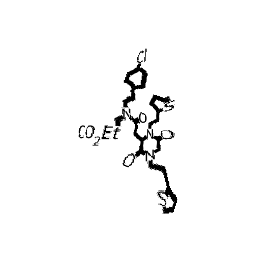 CCOC(=O)CN(CCc1ccc(Cl)cc1)C(=O)CC1C(=O)N(CCc2cccs2)CC(=O)N1CCc1cccs1